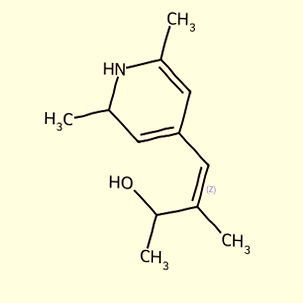 CC1=CC(/C=C(/C)C(C)O)=CC(C)N1